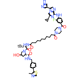 Cc1ncsc1-c1ccc(CNC(=O)[C@@H]2C[C@@H](O)CN2C(=O)[C@@H](NC(=O)CCCCCCCCCC(=O)N2CCN(C(=O)c3ccc(Nc4nc(C5CC5)cn5c(-c6cn[nH]c6)cnc45)c(F)c3)CC2)C(C)(C)C)cc1